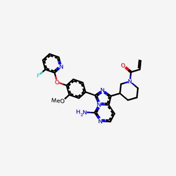 C=CC(=O)N1CCCC(c2nc(-c3ccc(Oc4ncccc4F)c(OC)c3)n3c(N)nccc23)C1